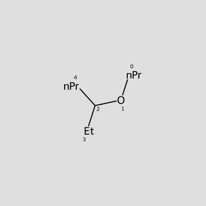 [CH2]CCOC(CC)CCC